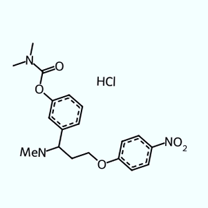 CNC(CCOc1ccc([N+](=O)[O-])cc1)c1cccc(OC(=O)N(C)C)c1.Cl